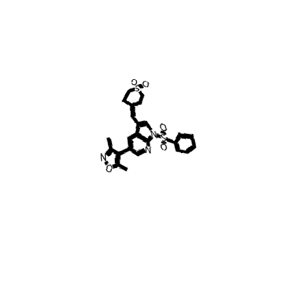 Cc1noc(C)c1-c1cnc2c(c1)c(C=C1CCS(=O)(=O)CC1)cn2S(=O)(=O)c1ccccc1